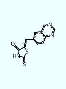 O=C1NC(=S)S/C1=C\c1ccc2ncncc2c1